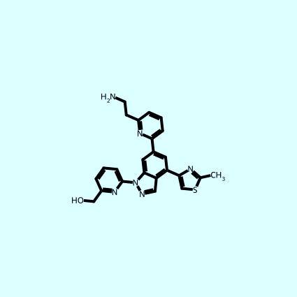 Cc1nc(-c2cc(-c3cccc(CCN)n3)cc3c2cnn3-c2cccc(CO)n2)cs1